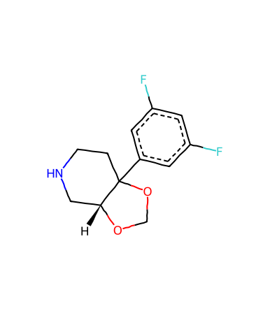 Fc1cc(F)cc(C23CCNC[C@H]2OCO3)c1